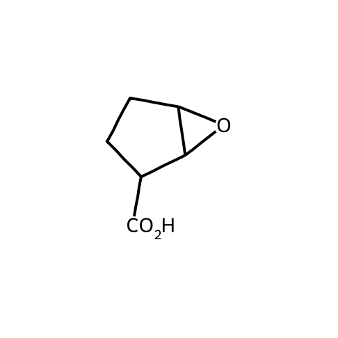 O=C(O)C1CCC2OC21